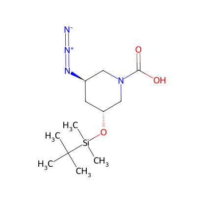 CC(C)(C)[Si](C)(C)O[C@@H]1C[C@@H](N=[N+]=[N-])CN(C(=O)O)C1